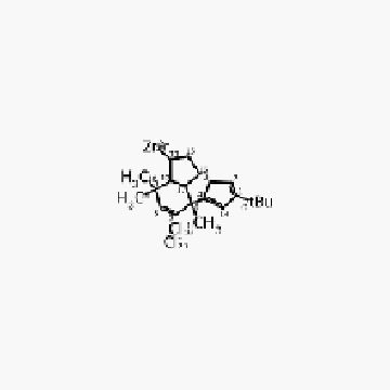 CC(C)(C)C1=CCC(C2(C)C=CC(C)(C)C3[CH]([Zr+2])CCC32)=C1.[Cl-].[Cl-]